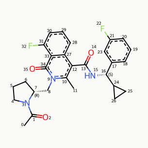 CC(=O)N1CCC[C@@H]1Cn1c(C)c(C(=O)N[C@H](c2cccc(F)c2)C2CC2)c2cccc(F)c2c1=O